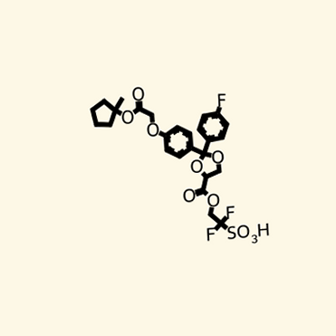 CC1(OC(=O)COc2ccc(C3(c4ccc(F)cc4)OCC(C(=O)OCC(F)(F)S(=O)(=O)O)O3)cc2)CCCC1